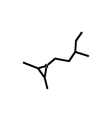 CCC(C)CCN1C(C)C1C